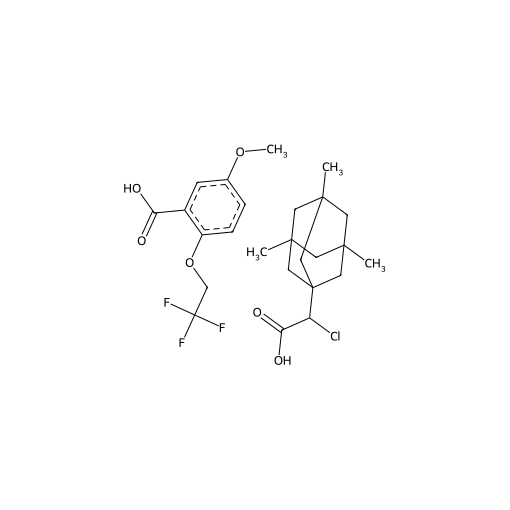 CC12CC3(C)CC(C)(C1)CC(C(Cl)C(=O)O)(C2)C3.COc1ccc(OCC(F)(F)F)c(C(=O)O)c1